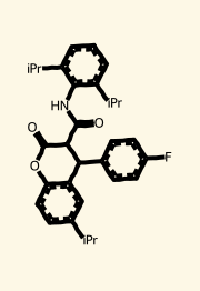 CC(C)c1ccc2c(c1)C(c1ccc(F)cc1)C(C(=O)Nc1c(C(C)C)cccc1C(C)C)C(=O)O2